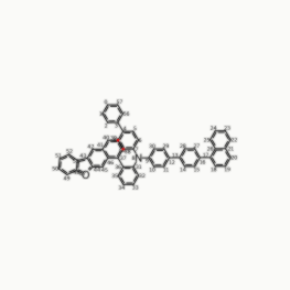 c1ccc(-c2ccc(N(c3ccc(-c4ccc(-c5cccc6ccccc56)cc4)cc3)c3ccccc3-c3cccc4cc5c(cc34)oc3ccccc35)cc2)cc1